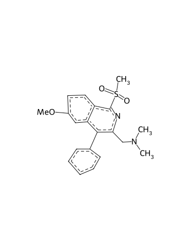 COc1ccc2c(S(C)(=O)=O)nc(CN(C)C)c(-c3ccccc3)c2c1